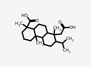 CC(C)C1CCC2C(CCC3C(C)(C(=O)O)CCCC23C)C1(C)CC(=O)O